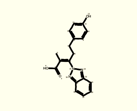 CC(C(=O)O)=C(CCc1ccc(O)cc1)n1nc2ccccc2n1